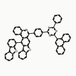 c1ccc(-c2nc(-c3ccc(-c4nc5ccccc5c5c(-c6cccc7c6oc6ccccc67)c6c(cc45)oc4ccccc46)cc3)nc(-c3cc4ccccc4c4ccccc34)n2)cc1